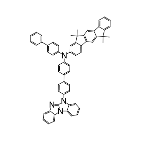 CC1(C)c2ccccc2-c2cc3c(cc21)-c1ccc(N(c2ccc(-c4ccccc4)cc2)c2ccc(-c4ccc(-n5c6ccccc6n6c7ccccc7nc56)cc4)cc2)cc1C3(C)C